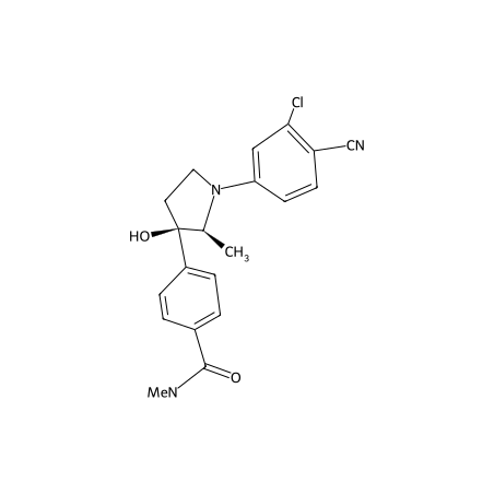 CNC(=O)c1ccc([C@]2(O)CCN(c3ccc(C#N)c(Cl)c3)[C@H]2C)cc1